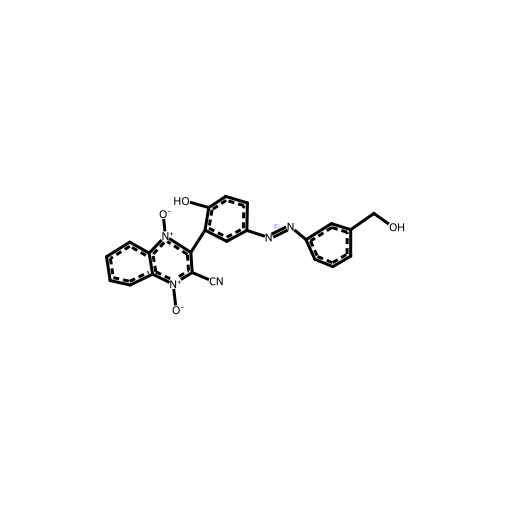 N#Cc1c(-c2cc(/N=N/c3cccc(CO)c3)ccc2O)[n+]([O-])c2ccccc2[n+]1[O-]